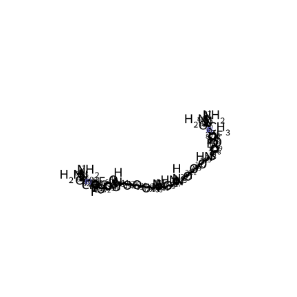 C/C(=C\c1cc(F)c(Oc2ccc(SNCCOCCOCCOCCN3C=C(COCc4cn(CCOCCOCCOCCNS(=O)(=O)c5ccc(Oc6c(F)cc(/C=C(\C)C(=O)N=C(N)N)cc6F)cc5)nn4)NN3)cc2)c(F)c1)C(=O)N=C(N)N